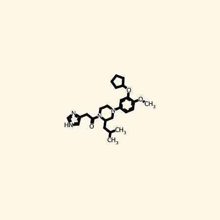 COc1ccc(N2CCN(C(=O)Cc3c[nH]cn3)C(CC(C)C)C2)cc1OC1CCCC1